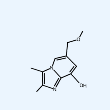 COCc1cc(O)c2nc(C)c(C)n2c1